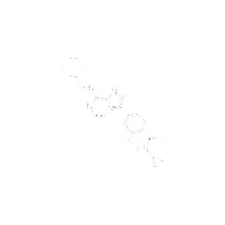 O=C(NC1CC1)c1ccc(-c2cnc3c(NCC4CCCCO4)nccn23)cc1O